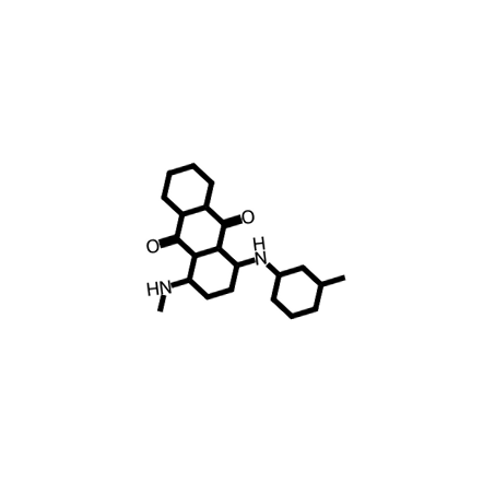 CNC1CCC(NC2CCCC(C)C2)C2C(=O)C3CCCCC3C(=O)C12